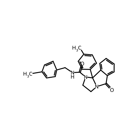 Cc1ccc(CNC(=O)N2CCN3C(=O)c4ccccc4C23c2ccc(C)cc2)cc1